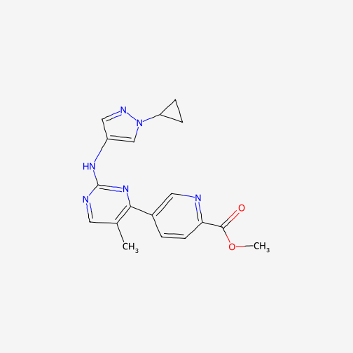 COC(=O)c1ccc(-c2nc(Nc3cnn(C4CC4)c3)ncc2C)cn1